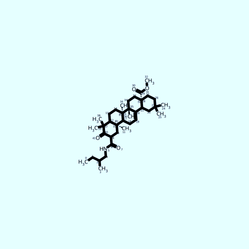 CCC(C)CNC(=O)C1C[C@@]2(C)C(CC[C@]3(C)C2CC=C2C4CC(C)(C)CC[C@]4(C(=O)OC)CC[C@]23C)C(C)(C)C1=O